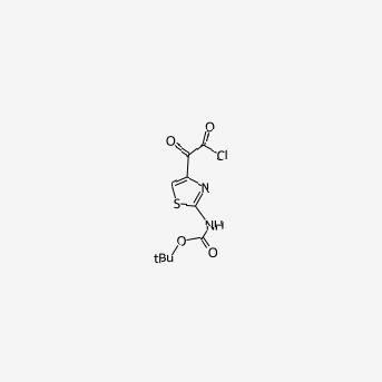 CC(C)(C)OC(=O)Nc1nc(C(=O)C(=O)Cl)cs1